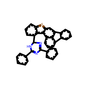 c1ccc(C2=NC(c3cccc4sc5cc6c7c(cccc7c5c34)-c3ccccc3-6)NC(c3ccccc3)=N2)cc1